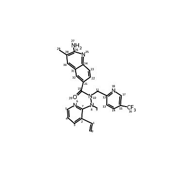 C=Cc1cccnc1N(C)N(Cc1ccc(C(F)(F)F)cn1)C(=O)c1ccc2nc(N)c(C)cc2c1